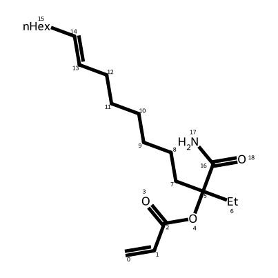 C=CC(=O)OC(CC)(CCCCCCC=CCCCCCC)C(N)=O